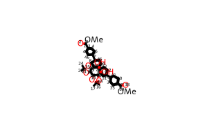 COC(=O)c1ccc(-c2ccc(C(O)[C@H]3OC(C)(C)O[C@@H]3[C@@H]3OC(C)(C)O[C@H]3C(O)c3ccc(-c4ccc(C(=O)OC)cc4)cc3)cc2)cc1